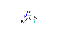 CC(C)n1nc(C(F)(F)F)c2c1CC1CC1(F)C2